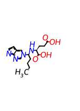 CCCCC(N[C@@H](CCC(=O)O)C(=O)O)n1cnc2nccc-2c1